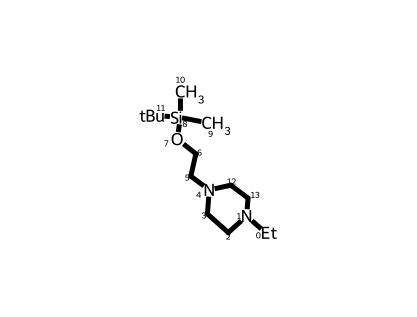 [CH2]CN1CCN(CCO[Si](C)(C)C(C)(C)C)CC1